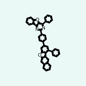 c1ccc(-c2nc(-c3ccc(-c4cc(-c5ccccc5)c5c(c4)oc4cc6ccccc6cc45)cc3)nc3c2oc2ccccc23)cc1